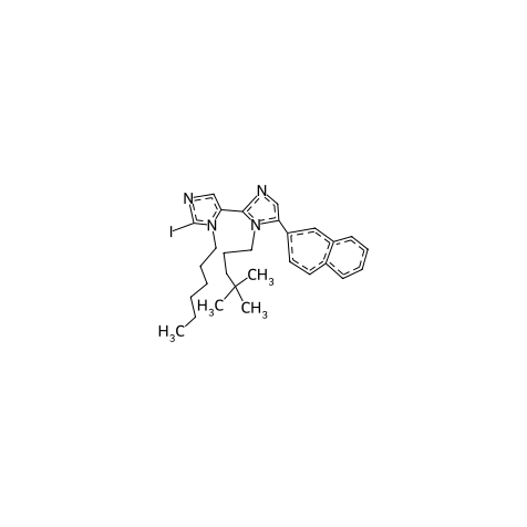 CCCCCCn1c(-c2ncc(-c3ccc4ccccc4c3)n2CCCC(C)(C)C)cnc1I